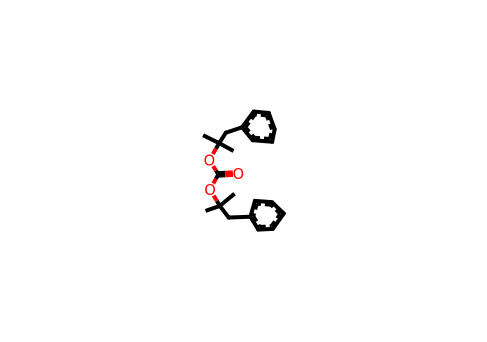 CC(C)(Cc1ccccc1)OC(=O)OC(C)(C)Cc1ccccc1